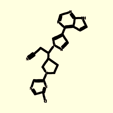 N#CCC(C1CCN(c2cncc(Cl)n2)C1)n1cc(-c2ncnc3[nH]ccc23)cn1